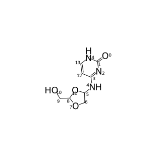 O=c1nc(NC2COC(CO)O2)cc[nH]1